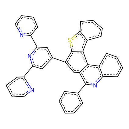 c1ccc(-c2nc3ccccc3c3c2cc(-c2cc(-c4ccccn4)nc(-c4ccccn4)c2)c2sc4ccccc4c23)cc1